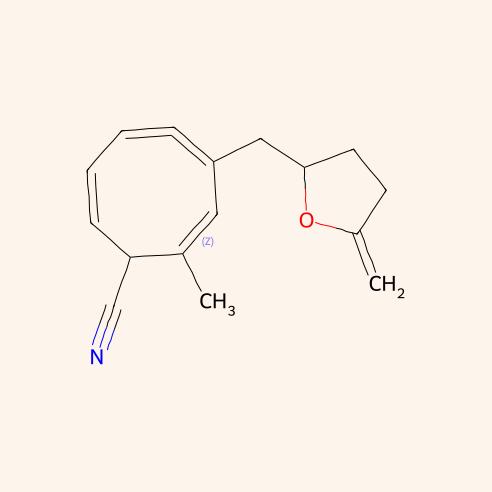 C=C1CCC(CC2=C=CC=CC(C#N)/C(C)=C\2)O1